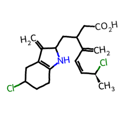 C=C(/C=C\[C@H](C)Cl)C(CC(=O)O)CC1NC2=C(CC(Cl)CC2)C1=C